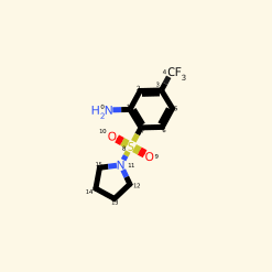 Nc1cc(C(F)(F)F)ccc1S(=O)(=O)N1CCCC1